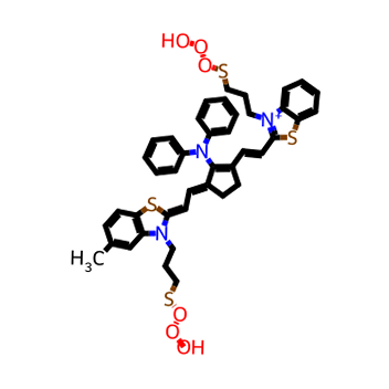 Cc1ccc2c(c1)N(CCCSOOO)/C(=C/C=C1\CCC(/C=C/c3sc4ccccc4[n+]3CCCSOOO)=C1N(c1ccccc1)c1ccccc1)S2